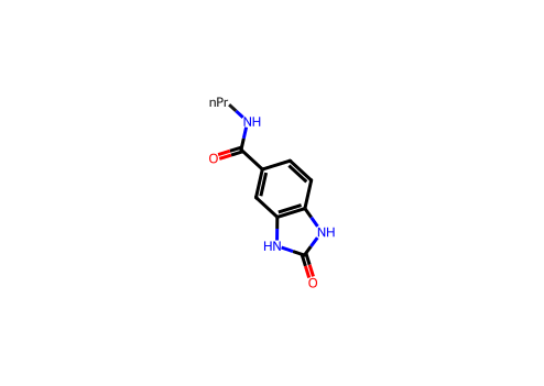 CCCNC(=O)c1ccc2[nH]c(=O)[nH]c2c1